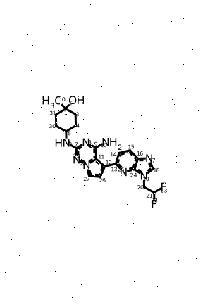 CC1(O)CCC(Nc2nc(N)c3c(-c4ccc5ncn(CC(F)F)c5n4)ccn3n2)CC1